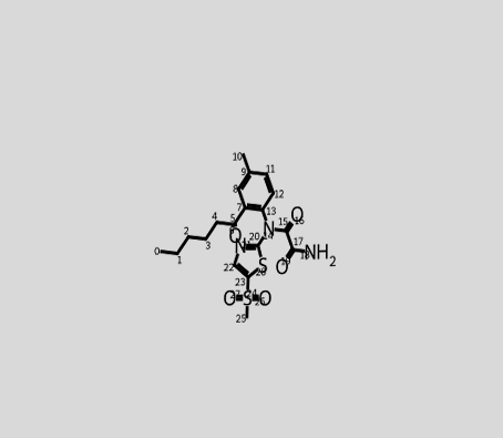 CCCCCC(=O)c1cc(C)ccc1N(C(=O)C(N)=O)c1ncc(S(C)(=O)=O)s1